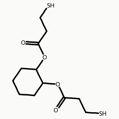 O=C(CCS)OC1CCCCC1OC(=O)CCS